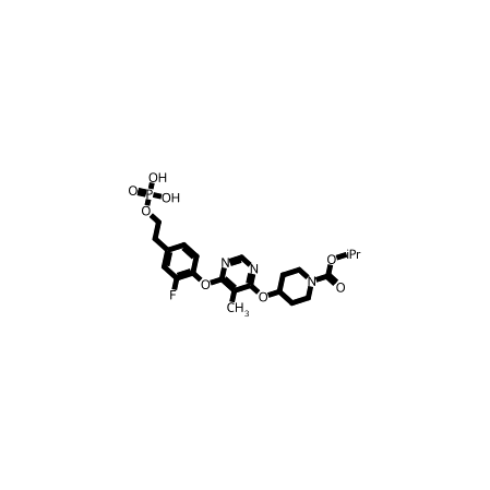 Cc1c(Oc2ccc(CCOP(=O)(O)O)cc2F)ncnc1OC1CCN(C(=O)OC(C)C)CC1